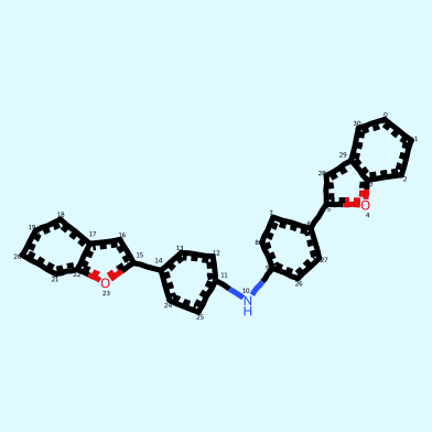 c1ccc2oc(-c3ccc(Nc4ccc(-c5cc6ccccc6o5)cc4)cc3)cc2c1